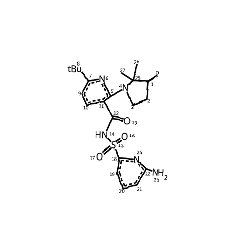 CC1CCN(c2nc(C(C)(C)C)ccc2C(=O)NS(=O)(=O)c2cccc(N)n2)C1(C)C